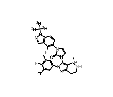 [2H]C([2H])([2H])n1ncc2c(F)c(-n3ccn(-c4c5c(nn4-c4cc(C)c(F)c(Cl)c4)CCN[C@H]5C)c3=O)ccc21